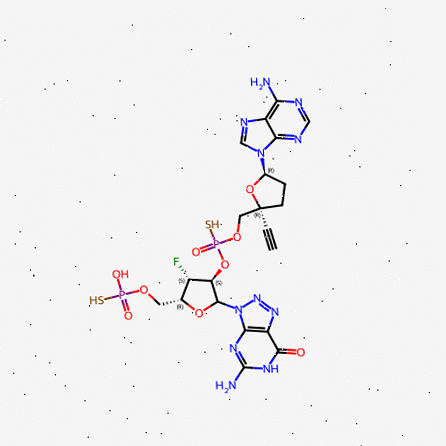 C#C[C@@]1(COP(=O)(S)O[C@H]2C(n3nnc4c(=O)[nH]c(N)nc43)O[C@H](COP(=O)(O)S)[C@@H]2F)CC[C@H](n2cnc3c(N)ncnc32)O1